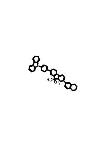 CC1(C)C2=C(CCC(C3=CC=C(n4c5c(c6ccccc64)=CCCC=5)CC3)=C2)C2=CC=C(c3ccc4c(c3)CCCC4)CC21